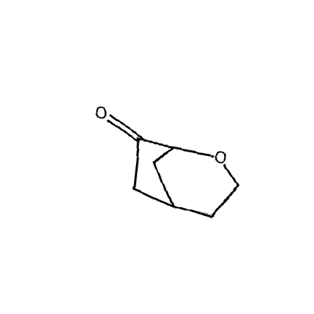 O=C1CC2CCOC1C2